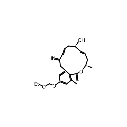 C=C1O[C@H](C)C/C=C/[C@H](O)C/C=C/C(=N)Cc2cc(OCOCC)cc(C)c21